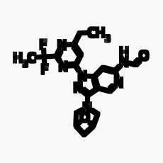 CCc1cc(-n2nc(N3CC4CC(C3)O4)c3cnc(NC=O)cc32)nc(C(C)(F)F)n1